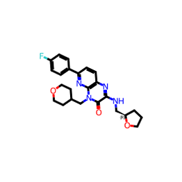 O=c1c(NC[C@H]2CCCO2)nc2ccc(-c3ccc(F)cc3)nc2n1CC1CCOCC1